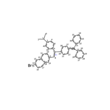 CC(C)c1ccc(/C(=C\c2ccc3cc(Br)ccc3c2)c2ccc(N(c3ccccc3)c3ccccc3)cc2)cc1